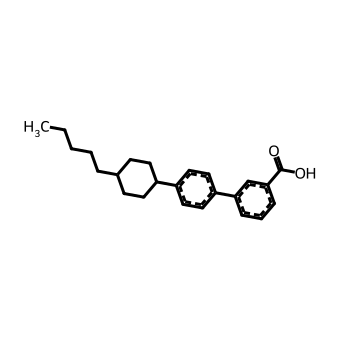 CCCCCC1CCC(c2ccc(-c3cccc(C(=O)O)c3)cc2)CC1